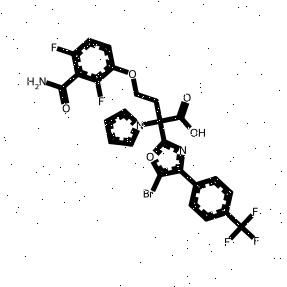 NC(=O)c1c(F)ccc(OCCC(C(=O)O)(c2nc(-c3ccc(C(F)(F)F)cc3)c(Br)o2)n2cccc2)c1F